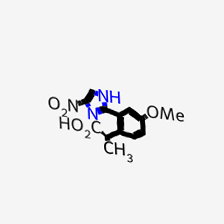 COc1ccc([C@@H](C)C(=O)O)c(-c2nc([N+](=O)[O-])c[nH]2)c1